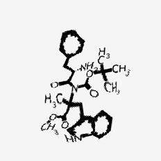 COC(=O)C(C)(Cc1c[nH]c2ccccc12)N(C(=O)OC(C)(C)C)C(=O)[C@@H](N)Cc1ccccc1